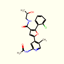 CC(=O)Nc1cc(-c2cc(C(=O)NC[C@@H](C)O)c(-c3ccccc3Cl)o2)c(C)cn1